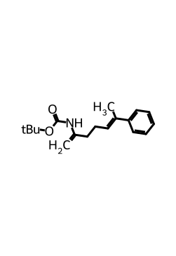 C=C(CCC=C(C)c1ccccc1)NC(=O)OC(C)(C)C